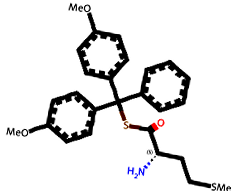 COc1ccc(C(SC(=O)[C@@H](N)CCSC)(c2ccccc2)c2ccc(OC)cc2)cc1